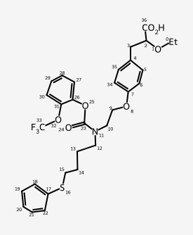 CCOC(Cc1ccc(OCCN(CCCCSc2ccccc2)C(=O)Oc2ccccc2OC(F)(F)F)cc1)C(=O)O